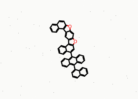 c1ccc2c(-c3c4ccccc4c(-c4cc5oc6cc7oc8ccc9ccccc9c8c7cc6c5c5ccccc45)c4ccccc34)cccc2c1